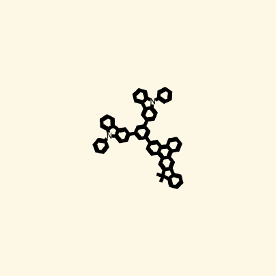 CC1(C)c2ccccc2-c2cc3c4ccccc4c4cc(-c5cc(-c6ccc7c(c6)c6ccccc6n7-c6ccccc6)cc(-c6ccc7c(c6)c6ccccc6n7-c6ccccc6)c5)ccc4c3cc21